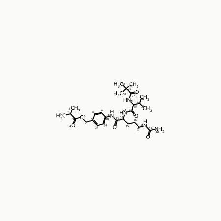 CC(C)C(=O)OCc1ccc(NC(=O)C(CCCNC(N)=O)NC(=O)C(NC(=O)C(C)(C)C)C(C)C)cc1